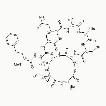 C=C[C@H]1C[C@]12NC(=O)[C@H](C)NC(=O)[C@H](NC(=O)[C@H](CO)NC(=O)[C@@H](NC(=O)[C@H](NC(=O)[C@@H](CCC(N)=O)NC(=O)[C@H](CO)NC(=O)[C@@H](NC(=O)[C@@H](CCc1ccccc1)NC)[C@@H](C)CC)[C@@H](C)CC)[C@@H](C)CC)[C@H](C)OC(=O)[C@H]([C@@H](C)CC)NC2=O